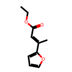 CCOC(=O)C=C(C)c1ccco1